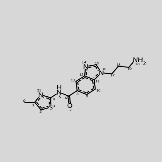 Cc1csc(NC(=O)c2ccc3c(c2)ncn3CCCN)n1